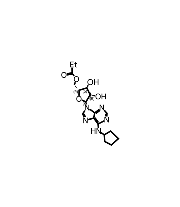 CCC(=O)OC[C@H]1O[C@@H](n2cnc3c(NC4CCCC4)ncnc32)[C@H](O)[C@@H]1O